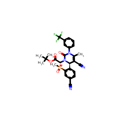 CC1=C(C#N)[C@@H](c2ccc(C#N)cc2S(C)(=O)=O)N(CC(=O)OC(C)(C)C)C(=O)N1c1cccc(C(F)(F)F)c1